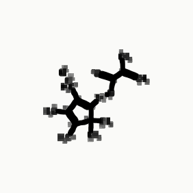 C=C(C)C(=O)[O][Ti+2][C]1=C(C)C(C)=C(C)C1(C)C.[Cl-].[Cl-]